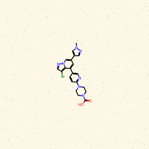 Cn1cc(-c2cc(-c3ccc(N4CCN(C(=O)O)CC4)nc3)c3c(Br)cnn3c2)cn1